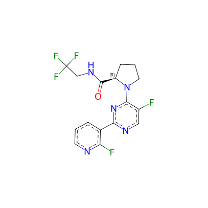 O=C(NCC(F)(F)F)[C@H]1CCCN1c1nc(-c2cccnc2F)ncc1F